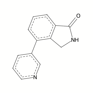 O=C1NCc2c1cccc2-c1cccnc1